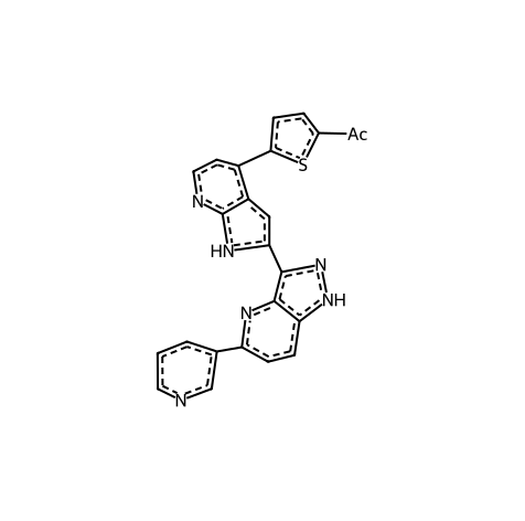 CC(=O)c1ccc(-c2ccnc3[nH]c(-c4n[nH]c5ccc(-c6cccnc6)nc45)cc23)s1